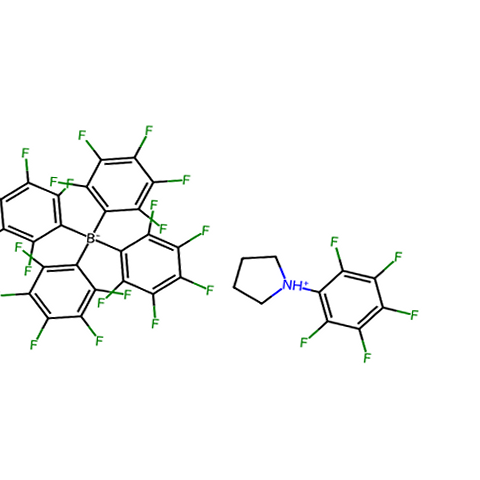 Fc1c(F)c(F)c([B-](c2c(F)c(F)c(F)c(F)c2F)(c2c(F)c(F)c(F)c(F)c2F)c2c(F)c(F)c(F)c(F)c2F)c(F)c1F.Fc1c(F)c(F)c([NH+]2CCCC2)c(F)c1F